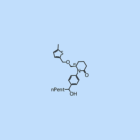 CCCCCC(O)c1ccc(N2C(=O)CCC[C@@H]2COCc2ccc(C)s2)cc1